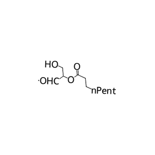 CCCCCCCC(=O)OC([C]=O)CO